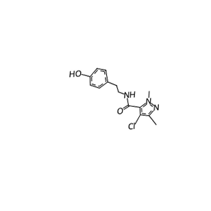 Cc1nn(C)c(C(=O)NCCc2ccc(O)cc2)c1Cl